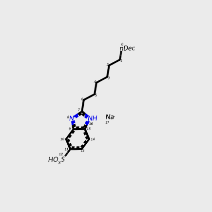 CCCCCCCCCCCCCCCCc1nc2cc(S(=O)(=O)O)ccc2[nH]1.[Na]